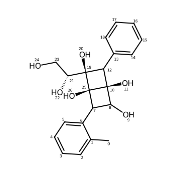 Cc1ccccc1C1C(O)[C@@]2(O)C(c3ccccc3)[C@@](O)([C@H](O)CO)[C@@]12O